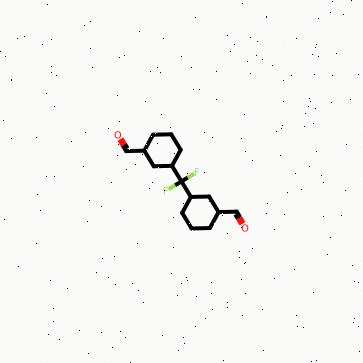 O=CC1CCCC(C(F)(F)C2CCCC(C=O)C2)C1